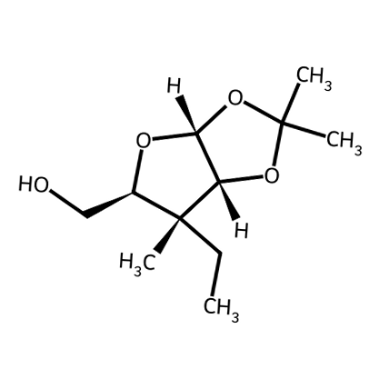 CC[C@]1(C)[C@@H](CO)O[C@@H]2OC(C)(C)O[C@@H]21